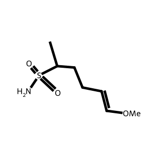 COC=CCCC(C)S(N)(=O)=O